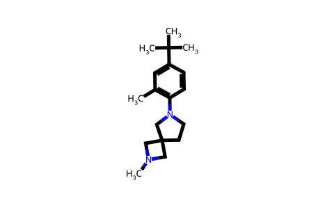 Cc1cc(C(C)(C)C)ccc1N1CCC2(CN(C)C2)C1